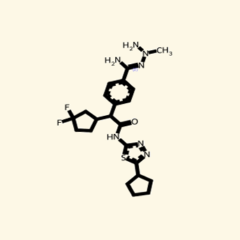 CN(N)/N=C(\N)c1ccc(C(C(=O)Nc2nnc(C3CCCC3)s2)C2CCC(F)(F)C2)cc1